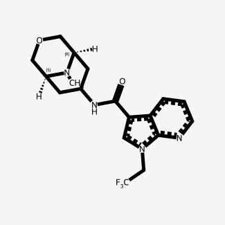 CN1[C@@H]2COC[C@H]1CC(NC(=O)c1cn(CC(F)(F)F)c3ncccc13)C2